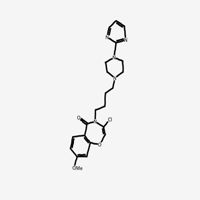 COc1ccc2c(c1)OC=C(Cl)N(CCCCN1CCN(c3ncccn3)CC1)C2=O